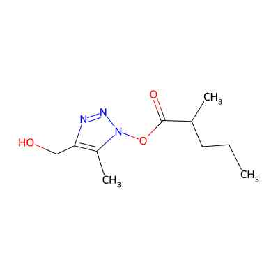 CCCC(C)C(=O)On1nnc(CO)c1C